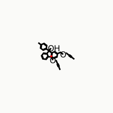 CC#CCOCc1cccc(C(O)(c2ccc(C)cc2)c2ccccc2COCC#CC)c1